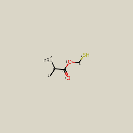 CCCCC(C)C(=O)OCS